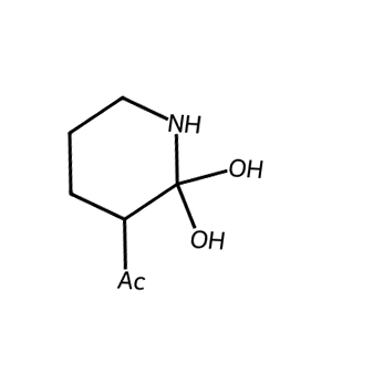 CC(=O)C1CCCNC1(O)O